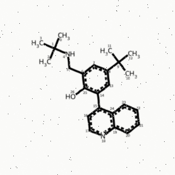 CC(C)(C)NCc1cc(C(C)(C)C)cc(-c2ccnc3ccccc23)c1O